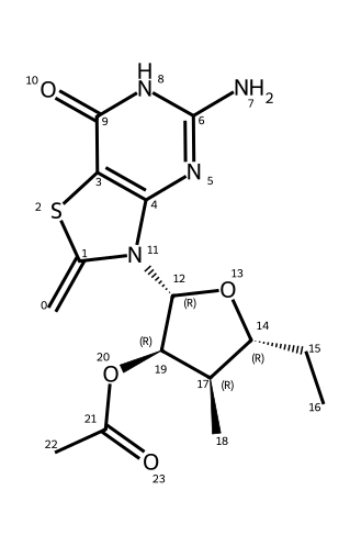 C=C1Sc2c(nc(N)[nH]c2=O)N1[C@@H]1O[C@H](CC)[C@@H](C)[C@H]1OC(C)=O